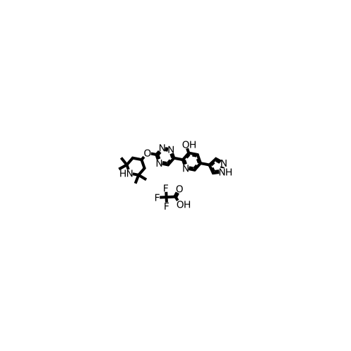 CC1(C)CC(Oc2ncc(-c3ncc(-c4cn[nH]c4)cc3O)nn2)CC(C)(C)N1.O=C(O)C(F)(F)F